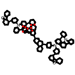 c1cc(-c2cccc3oc4ccccc4c23)cc(N(c2ccc(-c3ccccc3-n3c4ccccc4c4ccccc43)cc2)c2ccc(-c3cc4cc(-c5ccc6c(c5)c5ccccc5n6-c5ccccc5-c5ccc(N(c6cccc(-c7cccc8oc9ccccc9c78)c6)c6ccccc6-c6ccc7c(ccc8ccccc87)c6)cc5)ccc4c4ccccc34)cc2)c1